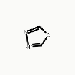 [C]1=N[N+]=CO1